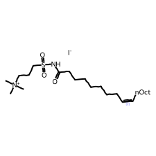 CCCCCCCC/C=C\CCCCCCCC(=O)NS(=O)(=O)CCC[N+](C)(C)C.[I-]